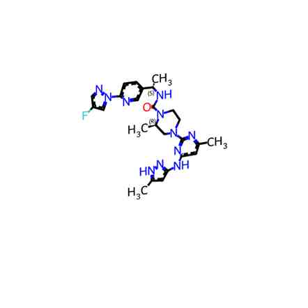 Cc1cc(Nc2cc(C)[nH]n2)nc(N2CCN(C(=O)N[C@@H](C)c3ccc(-n4cc(F)cn4)nc3)[C@H](C)C2)n1